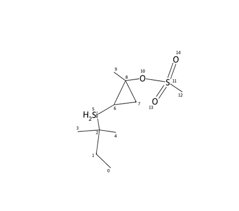 CCC(C)(C)[SiH2]C1CC1(C)OS(C)(=O)=O